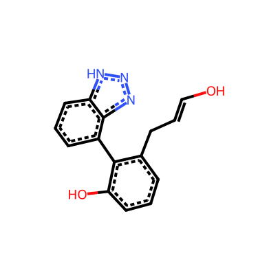 OC=CCc1cccc(O)c1-c1cccc2[nH]nnc12